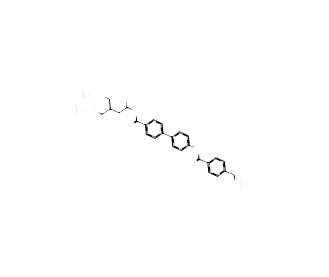 CCc1ccc(C(=O)Oc2ccc(-c3ccc(C(=O)O[C@H](C)CC(CC)CC)cc3)cc2)cc1